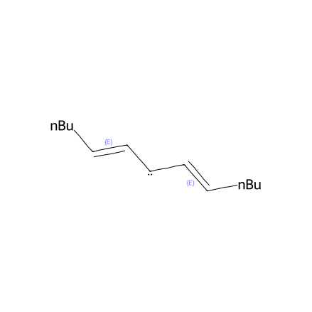 CCCC/C=C/[C]/C=C/CCCC